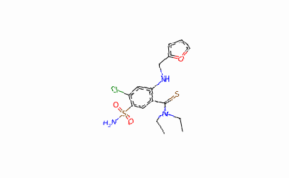 CCN(CC)C(=S)c1cc(S(N)(=O)=O)c(Cl)cc1NCc1ccco1